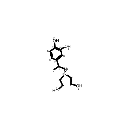 CC([N]N(CCO)CCO)c1ccc(O)c(O)c1